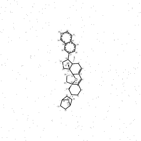 C[C@]12CC=C3C=C4CC[C@H](N5C6CCC5CC6)C[C@]45CC[C@]3(O5)[C@@H]1CCC2c1ccc2ccncc2c1